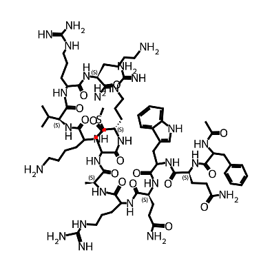 CSCCC(NC(=O)[C@H](C)NC(=O)C(CCCNC(=N)N)NC(=O)[C@H](CCC(N)=O)NC(=O)C(Cc1c[nH]c2ccccc12)NC(=O)[C@H](CCC(N)=O)NC(=O)C(Cc1ccccc1)NC(C)=O)C(=O)N[C@@H](CCCNC(=N)N)C(=O)NC(CCCCN)C(=O)N[C@H](C(=O)NC(CCCNC(=N)N)C(=O)N[C@@H](CCCCN)C(N)=O)C(C)C